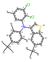 Cc1cc(Cl)c(Cl)c(N(c2c(C)cc(C(C)(C)C)cc2C)c2csc3ccc(C(C)(C)C)cc23)c1